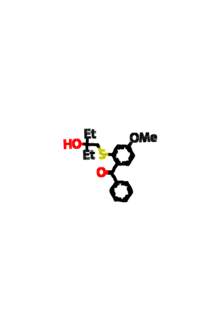 CCC(O)(CC)CSc1cc(OC)ccc1C(=O)c1ccccc1